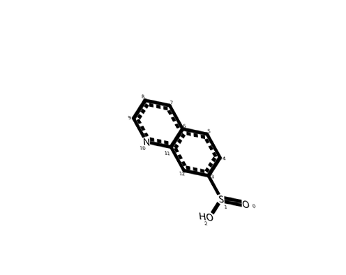 O=S(O)c1ccc2cccnc2c1